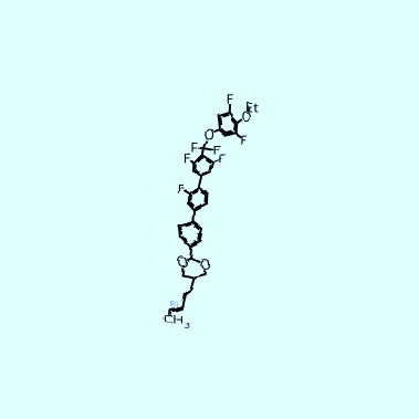 C/C=C/CCC1COC(c2ccc(-c3ccc(-c4cc(F)c(C(F)(F)Oc5cc(F)c(OCC)c(F)c5)c(F)c4)c(F)c3)cc2)OC1